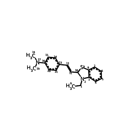 CCN1c2ccccc2SC1C=Cc1ccc(N(C)C)cc1